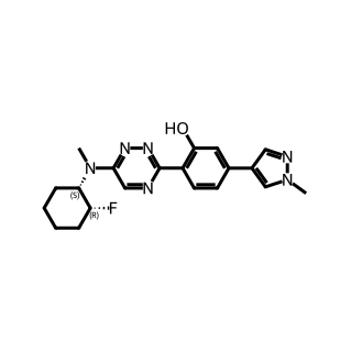 CN(c1cnc(-c2ccc(-c3cnn(C)c3)cc2O)nn1)[C@H]1CCCC[C@H]1F